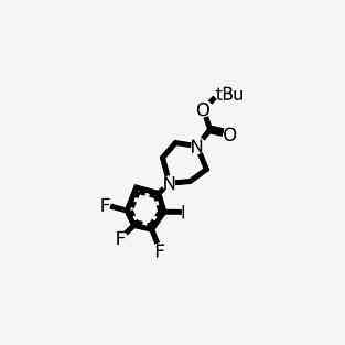 CC(C)(C)OC(=O)N1CCN(c2cc(F)c(F)c(F)c2I)CC1